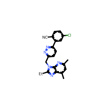 CCc1nc2c(C)cc(C)nc2n1Cc1ccc(-c2cc(Cl)ccc2C#N)nn1